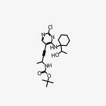 CC(C#Cc1cnc(Cl)nc1NC1(C(C)O)CCCCC1)NC(=O)OC(C)(C)C